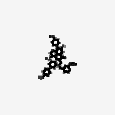 COc1cc(CN(Cc2cn3c4c(c(N5CCC(O)CC5)c(F)cc4c2=O)OCC3C)[C@H]2CCCN(c3ccc(N)nc3)C2)ccn1